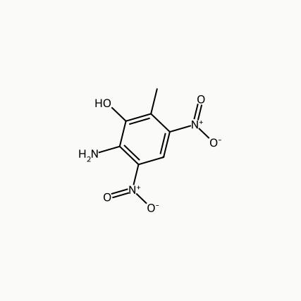 Cc1c([N+](=O)[O-])cc([N+](=O)[O-])c(N)c1O